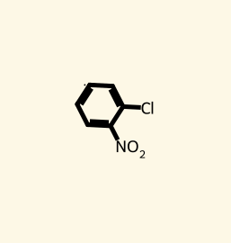 O=[N+]([O-])c1cc[c]cc1Cl